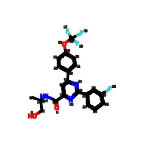 C[C@H](CO)NC(=O)c1cc(-c2ccc(OC(F)(F)F)cc2)nc(-c2cccc(F)c2)n1